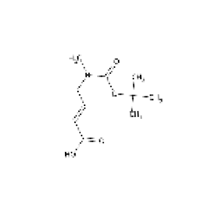 CN(CC=CC(=O)O)C(=O)OC(C)(C)C